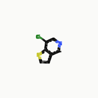 Clc1cn[c]c2ccsc12